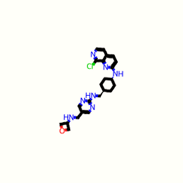 Clc1nccc2ccc(N[C@H]3CC[C@H](CNc4ncc(CNC5COC5)cn4)CC3)nc12